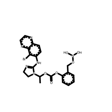 CC(OC(=O)Oc1ccccc1CON(O)O)N1CCN=C1Nc1ccc2nccnc2c1Br